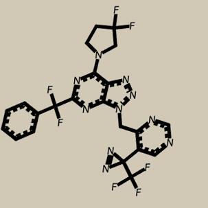 FC1(F)CCN(c2nc(C(F)(F)c3ccccc3)nc3c2nnn3Cc2ncncc2C2(C(F)(F)F)N=N2)C1